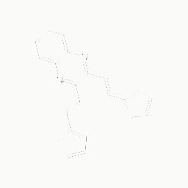 C(=Cc1nc2ccccc2nc1C=Cc1cccs1)c1cccs1